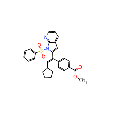 COC(=O)c1ccc(C(=CC2CCCC2)c2cc3cccnc3n2S(=O)(=O)c2ccccc2)cc1